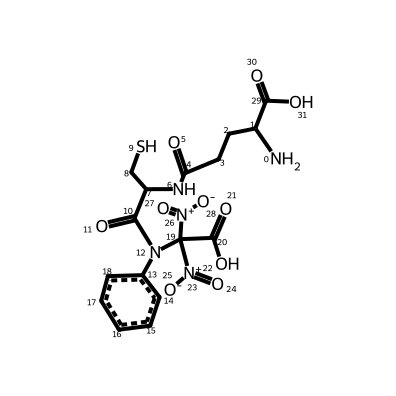 NC(CCC(=O)NC(CS)C(=O)N(c1ccccc1)C(C(=O)O)([N+](=O)[O-])[N+](=O)[O-])C(=O)O